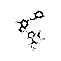 COC(=O)[C@@H]1C[C@@H](n2ncc3c(Cl)cc(SCc4ccccc4)cc32)CN1C(=O)OC(C)(C)C